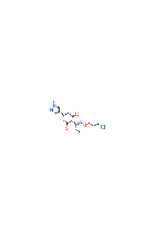 CCC(=NOCC=CCl)C1C(=O)CC(c2cnn(C)c2)CC1=O